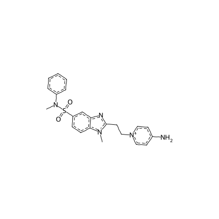 CN(c1ccccc1)S(=O)(=O)c1ccc2c(c1)nc(CC[n+]1ccc(N)cc1)n2C